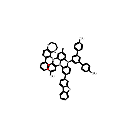 Cc1cc2c3c(c1)N(c1c(-c4ccccc4)ccc4c1OCCCO4)c1ccc(C(C)(C)C)cc1B3c1cc(-c3ccc4c(c3)sc3ccccc34)ccc1N2c1cc(-c2ccc(C(C)(C)C)cc2)cc(-c2ccc(C(C)(C)C)cc2)c1